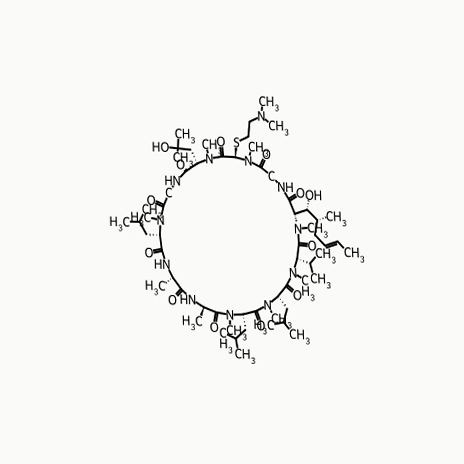 C/C=C/C[C@@H](C)[C@@H](O)[C@H]1C(=O)NCC(=O)N(C)[C@H](SCCN(C)C)C(=O)N(C)[C@@H](CC(C)(C)O)C(=O)NCC(=O)N(C)[C@@H](CC(C)C)C(=O)N[C@@H](C)C(=O)N[C@H](C)C(=O)N(C)[C@@H](CC(C)C)C(=O)N(C)[C@@H](CC(C)C)C(=O)N(C)[C@@H](C(C)C)C(=O)N1C